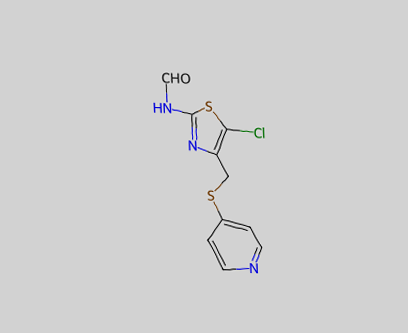 O=CNc1nc(CSc2ccncc2)c(Cl)s1